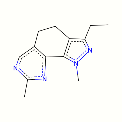 CCc1nn(C)c2c1CCc1cnc(C)nc1-2